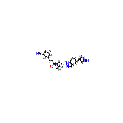 C[C@H]1C[C@@H](Cn2ncc3cc(-c4cn[nH]c4)ccc32)CN1C(=O)CCc1cccc(C#N)c1